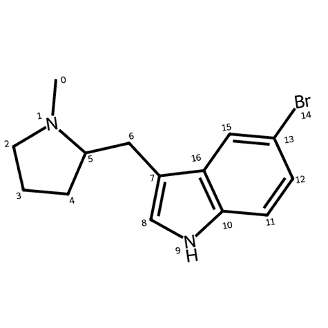 CN1CCCC1Cc1c[nH]c2ccc(Br)cc12